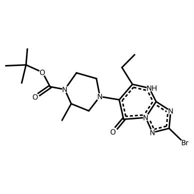 CCc1[nH]c2nc(Br)nn2c(=O)c1N1CCN(C(=O)OC(C)(C)C)C(C)C1